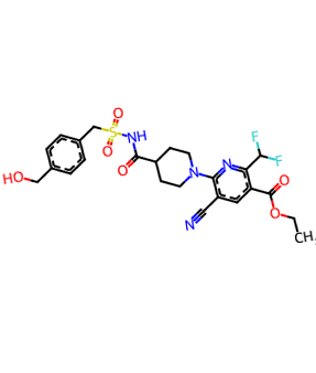 CCOC(=O)c1cc(C#N)c(N2CCC(C(=O)NS(=O)(=O)Cc3ccc(CO)cc3)CC2)nc1C(F)F